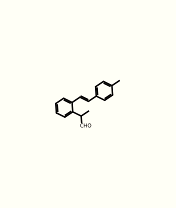 Cc1ccc(C=Cc2ccccc2C(C)C=O)cc1